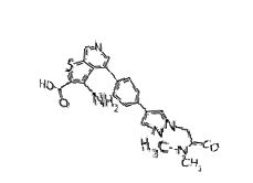 CN(C)C(=C=O)Cn1cc(-c2ccc(-c3cncc4sc(C(=O)O)c(N)c34)cc2)cn1